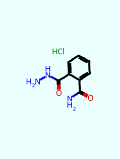 Cl.NNC(=O)c1ccccc1C(N)=O